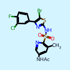 CC(=O)Nc1cnc(S(=O)(=O)Nc2nc(-c3ccc(F)c(Cl)c3)c(Br)s2)c(C)c1